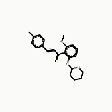 COc1cccc(OC2CCCCO2)c1C(=O)/C=C/c1ccc(C)cc1